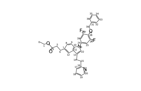 CCOC(=O)CCc1ccc2c(c1)c(CCc1ccccn1)cn2-c1cc(F)c(OCc2ccccc2)c(F)c1